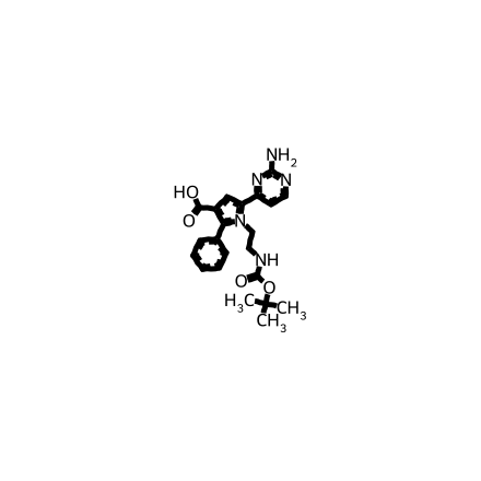 CC(C)(C)OC(=O)NCCn1c(-c2ccnc(N)n2)cc(C(=O)O)c1-c1ccccc1